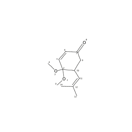 COC1(OC)C=CC(=O)CC1C=C(C)C